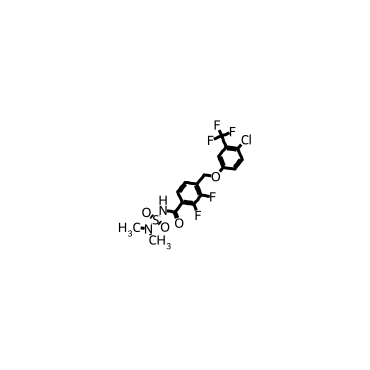 CN(C)S(=O)(=O)NC(=O)c1ccc(COc2ccc(Cl)c(C(F)(F)F)c2)c(F)c1F